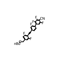 CCCCOCc1cc(F)c(C#Cc2ccc(-c3cc(F)c(C#N)c(F)c3F)c(F)c2)c(F)c1